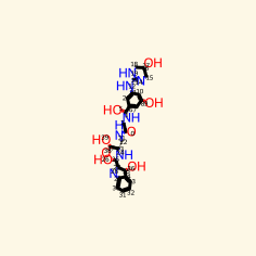 O=C(CNC(O)c1cc(O)cc(NC2=NCC(O)CN2)c1)NC[C@H](NC(O)C1=Nc2ccccc2C1O)C(=O)O